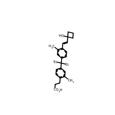 CCC(CC)(c1ccc(/C=C/C2(O)CCC2)c(C)c1)c1ccc(CCC(=O)O)c(C)c1